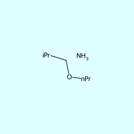 CCCOCC(C)C.N